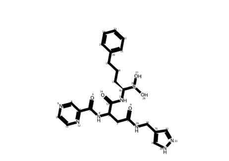 O=C(CC(NC(=O)c1cnccn1)C(=O)N[C@@H](CCCc1ccccc1)B(O)O)NCc1cn[nH]c1